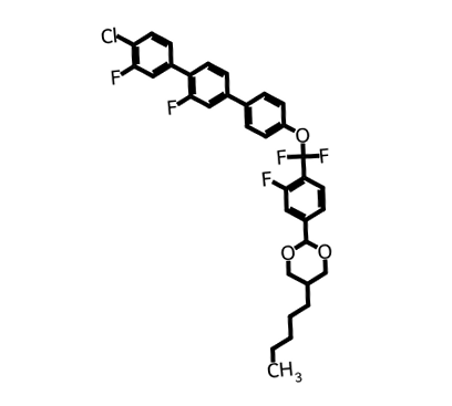 CCCCCC1COC(c2ccc(C(F)(F)Oc3ccc(-c4ccc(-c5ccc(Cl)c(F)c5)c(F)c4)cc3)c(F)c2)OC1